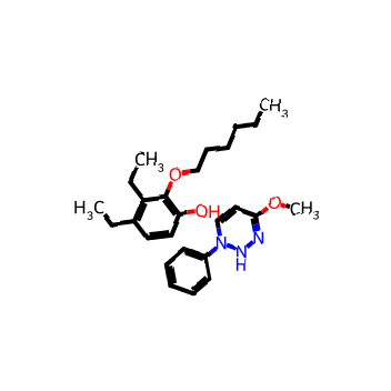 CCCCCCOc1c(O)ccc(CC)c1CC.COC1=NNN(c2ccccc2)C=C1